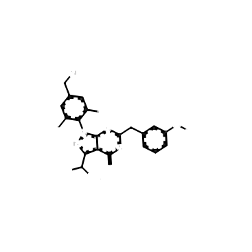 COc1cccc(Cc2nc3n(-c4c(Cl)cc(CN)cc4Cl)[nH]c(C(C)C)c-3c(=O)n2)c1